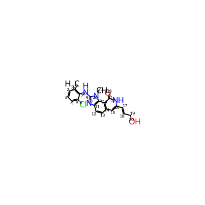 Cc1cccc(Cl)c1Nc1nc2ccc3cc(C=CCO)[nH]c(=O)c3c2n1C